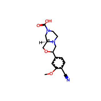 COc1cc(C2CN3CCN(C(=O)O)C[C@@H]3CO2)ccc1C#N